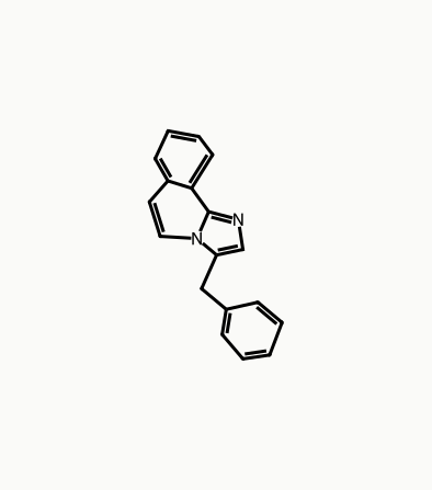 c1ccc(Cc2cnc3c4ccccc4ccn23)cc1